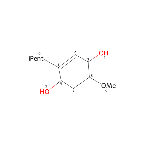 CCCC(C)C1=CC(O)C(OC)CC1O